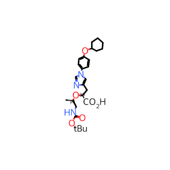 C[C@H](CNC(=O)OC(C)(C)C)O[C@@H](Cc1cn(-c2ccc(OC3CCCCC3)cc2)cn1)C(=O)O